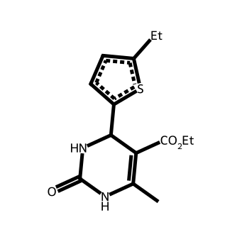 CCOC(=O)C1=C(C)NC(=O)NC1c1ccc(CC)s1